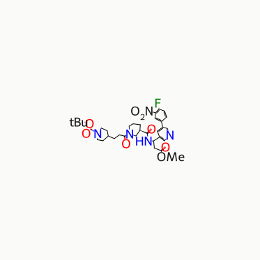 COC(=O)CC(NC(=O)[C@@H]1CCCN(C(=O)CCC2CCN(C(=O)OC(C)(C)C)CC2)C1)c1cncc(-c2ccc(F)c([N+](=O)[O-])c2)c1